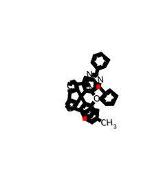 Cc1ccc(-c2cccc3c2C2(c4ccccc4Oc4ccccc42)c2c(-c4nc(-c5ccccc5)nc(-c5ccccc5)n4)cccc2-3)cc1